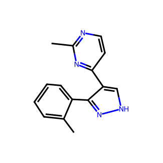 Cc1nccc(-c2c[nH]nc2-c2ccccc2C)n1